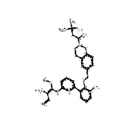 CCO/C(Nc1cccc(-c2cccc(C)c2OCc2ccc3c(c2)CCN(C(C)CC(C)(C)OC)C3)n1)=C(/C=N)C(=O)O